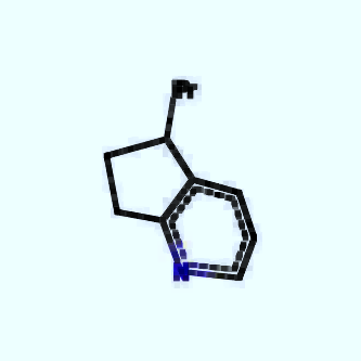 CC(C)C1CCc2ncccc21